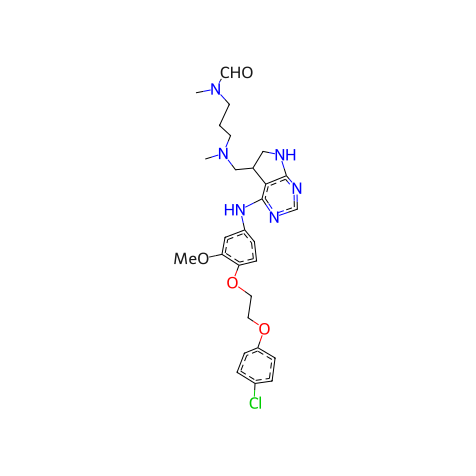 COc1cc(Nc2ncnc3c2C(CN(C)CCCN(C)C=O)CN3)ccc1OCCOc1ccc(Cl)cc1